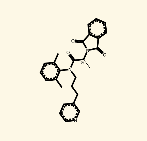 Cc1cccc(C)c1N(CCCc1cccnc1)C(=O)[C@@H](C)N1C(=O)c2ccccc2C1=O